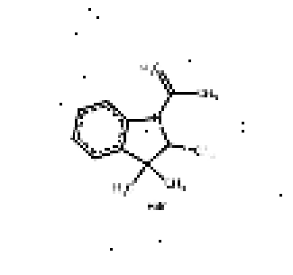 Br.C=C(C)N1c2ccccc2C(C)(C)C1C